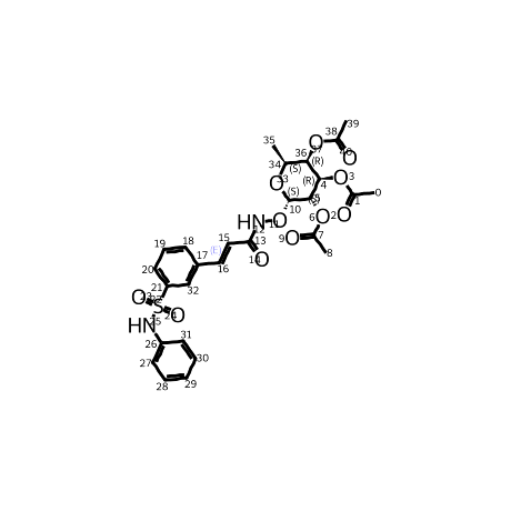 CC(=O)O[C@H]1[C@H](OC(C)=O)[C@H](ONC(=O)/C=C/c2cccc(S(=O)(=O)Nc3ccccc3)c2)O[C@@H](C)[C@H]1OC(C)=O